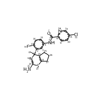 CC1(c2cc(NC(=O)c3ccc(Cl)cn3)ccc2F)N=C(N)SC2=C1CCC2